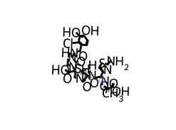 C[C@@H](O/N=C(\C(=O)N[C@@H]1C(=O)N2CC(C(=O)O)(N3CCN(NC(=O)c4ccc(O)c(O)c4Cl)C3=O)S[C@H]12)c1csc(N)n1)C(=O)O